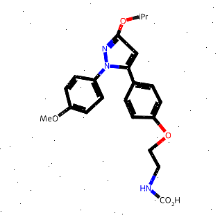 COc1ccc(-n2nc(OC(C)C)cc2-c2ccc(OCCNC(=O)O)cc2)cc1